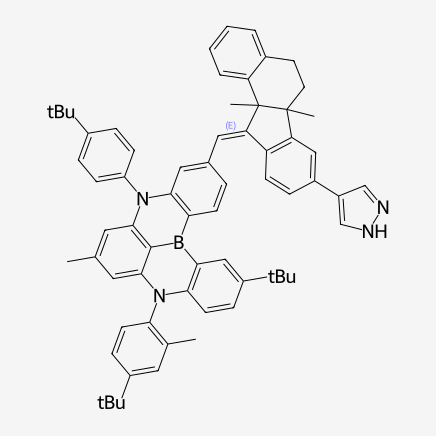 Cc1cc2c3c(c1)N(c1ccc(C(C)(C)C)cc1C)c1ccc(C(C)(C)C)cc1B3c1ccc(/C=C3\c4ccc(-c5cn[nH]c5)cc4C4(C)CCc5ccccc5C34C)cc1N2c1ccc(C(C)(C)C)cc1